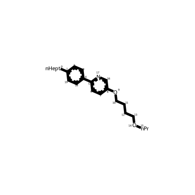 CCCCCCCc1ccc(-c2ccc(OCCCCOCCC)cn2)cc1